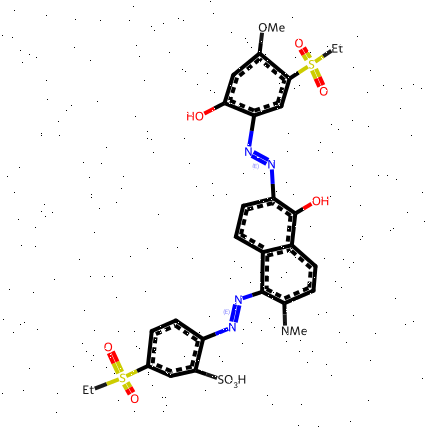 CCS(=O)(=O)c1ccc(/N=N/c2c(NC)ccc3c(O)c(/N=N/c4cc(S(=O)(=O)CC)c(OC)cc4O)ccc23)c(S(=O)(=O)O)c1